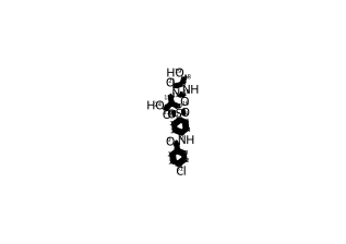 O=C(Nc1ccc(S(=O)(=O)CC(CN2C(=O)NC(CO)C2=O)C(=O)O)cc1)c1ccc(Cl)cc1